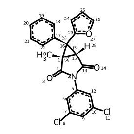 C[C@]12C(=O)N(c3cc(Cl)cc(Cl)c3)C(=O)[C@H]1[C@@]2(c1ccccc1)c1ccco1